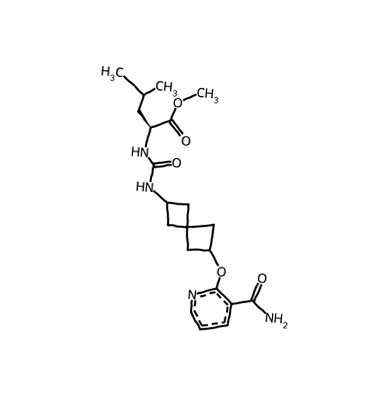 COC(=O)[C@H](CC(C)C)NC(=O)NC1CC2(C1)CC(Oc1ncccc1C(N)=O)C2